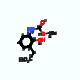 CCOC(=O)Cc1cccc(NC(=O)OC(C)(C)C)c1O